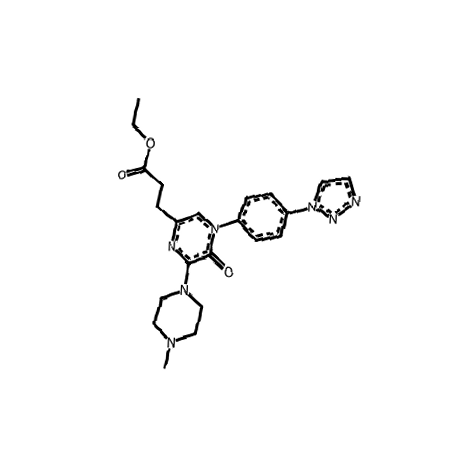 CCOC(=O)CCc1cn(-c2ccc(-n3ccnn3)cc2)c(=O)c(N2CCN(C)CC2)n1